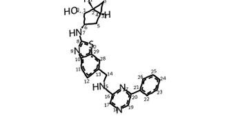 O[C@@H]1[C@@H]2C[C@@H]2C[C@H]1Nc1nc2ccc(CNc3cncc(-c4ccccc4)n3)cc2s1